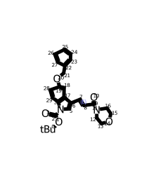 CC(C)(C)OC(=O)n1cc(/C=C/C(=O)N2CCOCC2)c2cc(OCc3ccccc3)ccc21